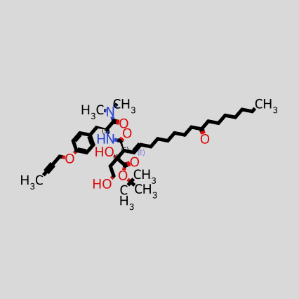 CC#CCOc1ccc(C[C@H](NC(=O)[C@@H](/C=C/CCCCCCC(=O)CCCCCCC)[C@@](O)(CCO)C(=O)OC(C)(C)C)C(=O)N(C)C)cc1